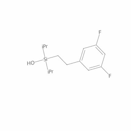 CC(C)[Si](O)(CCc1cc(F)cc(F)c1)C(C)C